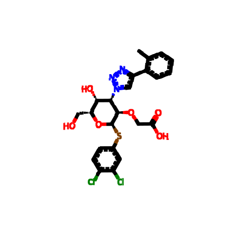 Cc1ccccc1-c1cn([C@H]2[C@@H](O)[C@@H](CO)O[C@H](Sc3ccc(Cl)c(Cl)c3)[C@@H]2OCC(=O)O)nn1